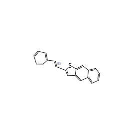 C(=C\c1cc2cc3ccccc3cc2s1)/c1ccccc1